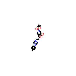 Cc1ccc(N2CCN(CC[C@H]3CC4(CCN(C(=O)OC(C)(C)C)CC4)C(=O)O3)CC2)cc1